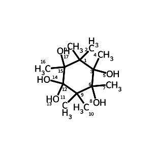 CC1(C)C(C)(O)C(C)(O)C(C)(C)C(O)(O)C1(C)O